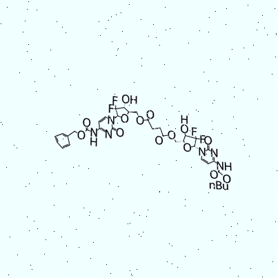 CCCCOC(=O)Nc1ccn([C@@H]2O[C@H](COC(=O)CCC(=O)OC[C@H]3O[C@@H](n4ccc(NC(=O)OCc5ccccc5)nc4=O)C(F)(F)[C@@H]3O)[C@@H](O)C2(F)F)c(=O)n1